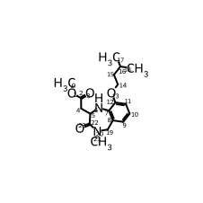 COC(=O)CC1Nc2c(cccc2OCCC(C)C)CN(C)C1=O